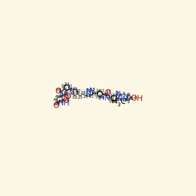 C[C@H]1C[C@H](O)CN1Cc1nc2cc(NC(=O)c3ccc(-c4cn(CCCC5CCN(c6cccc7c6C(=O)N(C6CCC(=O)NC6=O)C7=O)CC5)nn4)cc3)ccc2[nH]1